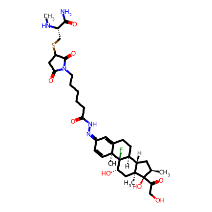 CN[C@@H](CSC1CC(=O)N(CCCCCC(=O)NN=C2C=C[C@@]3(C)C(=C2)CC[C@H]2[C@@H]4C[C@@H](C)[C@](O)(C(=O)CO)[C@@]4(C)C[C@H](O)[C@@]23F)C1=O)C(N)=O